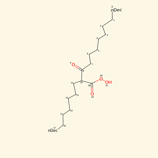 CCCCCCCCCCCCCCCCCC(=O)C(CCCCCCCCCCCCCCCC)C(=O)OO